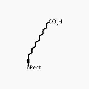 CCCCCC#CCC=CCCCCCCCCC(=O)O